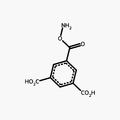 NOC(=O)c1cc(C(=O)O)cc(C(=O)O)c1